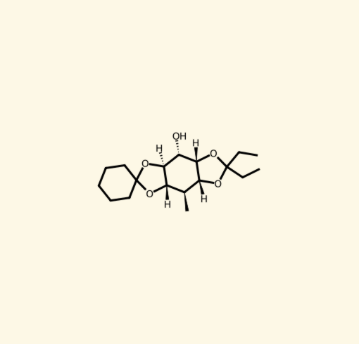 CCC1(CC)O[C@@H]2[C@@H](C)[C@@H]3OC4(CCCCC4)O[C@H]3[C@H](O)[C@@H]2O1